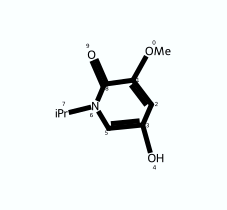 COc1cc(O)cn(C(C)C)c1=O